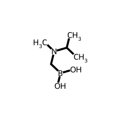 CC(C)N(C)CB(O)O